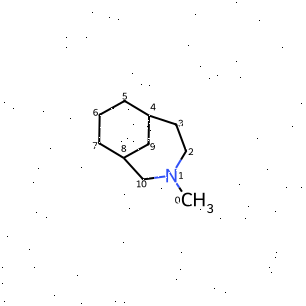 CN1CCC2CCCC(C2)C1